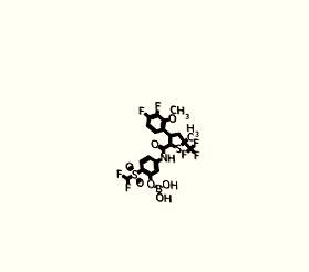 COc1c(C2CC(C)(C(F)(F)F)SC2C(=O)Nc2ccc(S(=O)(=O)C(F)F)c(OB(O)O)c2)ccc(F)c1F